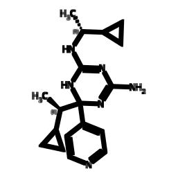 C[C@H](C1CC1)C1(c2ccncc2)N=C(N)N=C(N[C@H](C)C2CC2)N1